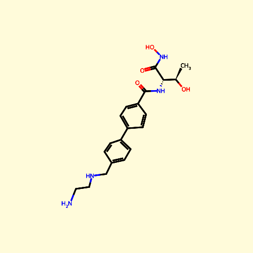 C[C@@H](O)[C@H](NC(=O)c1ccc(-c2ccc(CNCCN)cc2)cc1)C(=O)NO